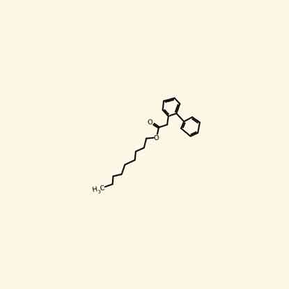 CCCCCCCCCOC(=O)Cc1ccccc1-c1ccccc1